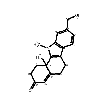 Cn1c2c(c3ccc(CO)cc31)CCC1=CC(=O)CCC12C